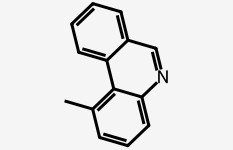 Cc1cccc2ncc3ccccc3c12